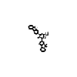 C=C1C(c2ccc3c(c2)oc2ccccc23)=CC(Cl)=NC1c1ccc2c(c1)C(C)(C)c1ccccc1-2